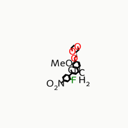 C=C(/C=C(\C#N)c1ccc([N+](=O)[O-])cc1F)c1ccc(OC[C@H]2COCCO2)c(OC)c1